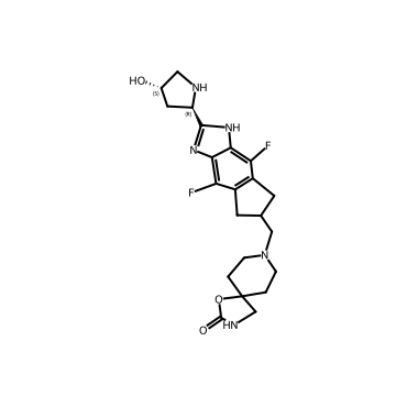 O=C1NCC2(CCN(CC3Cc4c(c(F)c5[nH]c([C@H]6C[C@H](O)CN6)nc5c4F)C3)CC2)O1